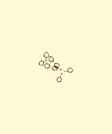 N#Cc1ccccc1-c1cccc2c1-c1c(-c3ccc(-c4nc(-c5ccccc5)nc(-c5ccccc5)n4)cc3)cccc1C21c2ccccc2Oc2ccccc21